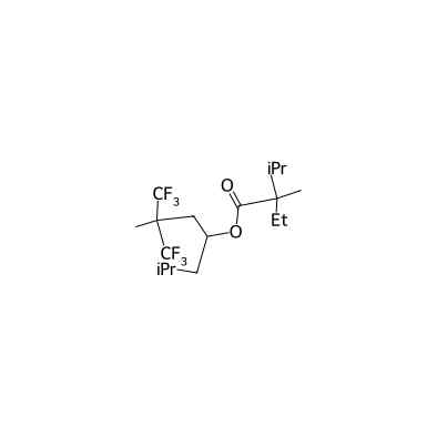 CCC(C)(C(=O)OC(CC(C)C)CC(C)(C(F)(F)F)C(F)(F)F)C(C)C